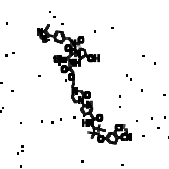 Cc1ncsc1-c1ccc(CNC(=O)[C@@H]2C[C@@H](O)CN2C(=O)C(NC(=O)COCCN2CCN(c3ccc(C(=O)NC4C(C)(C)C(Oc5ccc(C#N)c(C(F)(F)F)c5)C4(C)C)cn3)C(=O)C2)C(C)(C)C)cc1